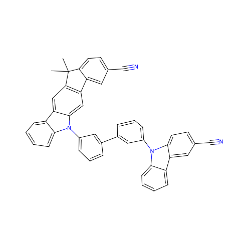 CC1(C)c2ccc(C#N)cc2-c2cc3c(cc21)c1ccccc1n3-c1cccc(-c2cccc(-n3c4ccccc4c4cc(C#N)ccc43)c2)c1